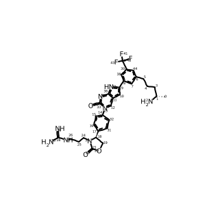 C[C@H](N)CCCc1cc(-c2cc3cn(-c4ccc([C@H]5COC(=O)N5CCCNC(=N)N)cc4)c(=O)nc3[nH]2)cc(C(F)(F)F)c1